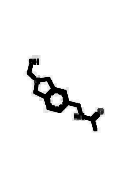 CC(=O)NCc1ccc2c(c1)CN(CO)C2